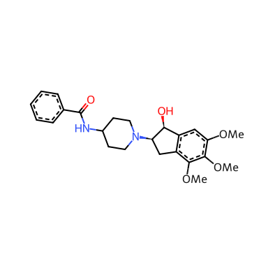 COc1cc2c(c(OC)c1OC)C[C@@H](N1CCC(NC(=O)c3ccccc3)CC1)[C@H]2O